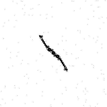 C=CC(=O)OCCCCCCCCCCC(=O)Oc1ccc(C(=O)Oc2ccc(OC(=O)c3ccc(OC(=O)CCCCCCCCCCOC(=O)C=C)cc3)cc2)cc1